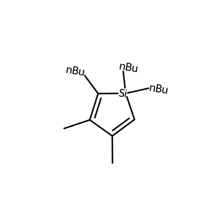 CCCCC1=C(C)C(C)=C[Si]1(CCCC)CCCC